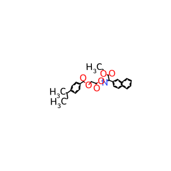 CCOC(=O)C(=NOC(=O)COC(=O)c1ccc(C(C)CC)cc1)c1ccc2ccccc2c1